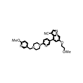 COCCOc1cc(-c2ccc(N3CCN(Cc4ccc(OC)nc4)CC3)nc2)c2c(C#N)cnn2c1